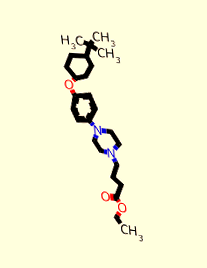 CCOC(=O)CCCN1CCN(c2ccc(OC3CCC(C(C)(C)C)CC3)cc2)CC1